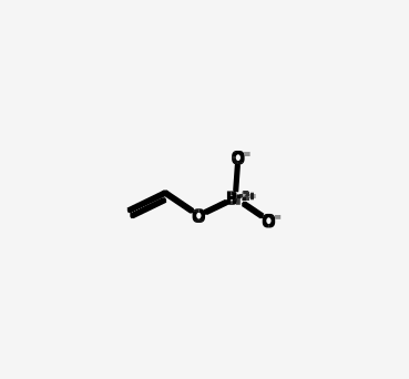 C=CO[Br+2]([O-])[O-]